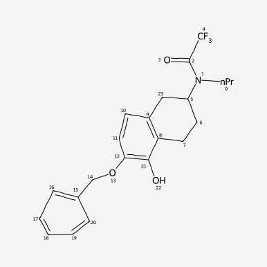 CCCN(C(=O)C(F)(F)F)C1CCc2c(ccc(OCc3ccccc3)c2O)C1